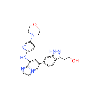 OCCc1n[nH]c2cc(-c3cc(Nc4ccc(N5CCOCC5)cn4)c4nccn4c3)ccc12